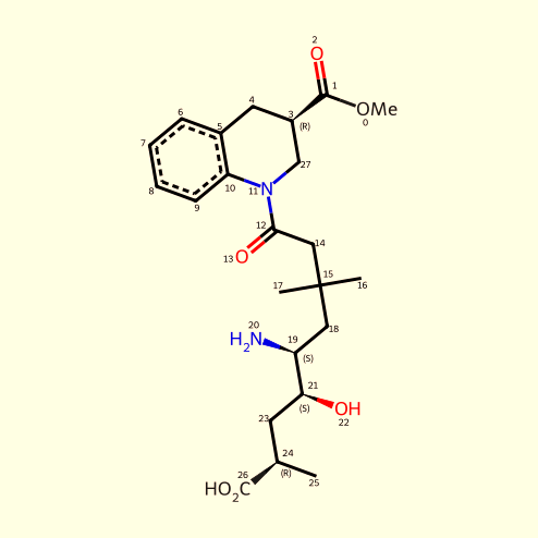 COC(=O)[C@@H]1Cc2ccccc2N(C(=O)CC(C)(C)C[C@H](N)[C@@H](O)C[C@@H](C)C(=O)O)C1